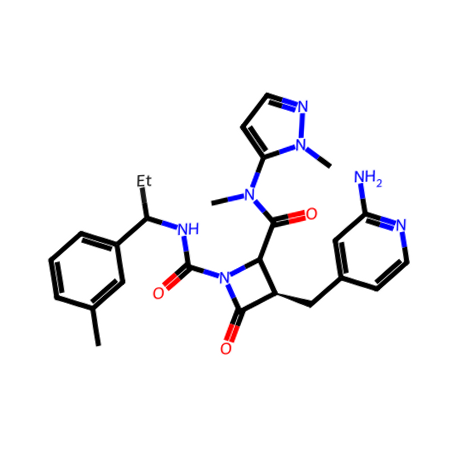 CCC(NC(=O)N1C(=O)[C@H](Cc2ccnc(N)c2)C1C(=O)N(C)c1ccnn1C)c1cccc(C)c1